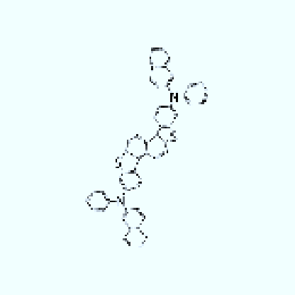 C1=Cc2cc(N(c3ccccc3)c3ccc4c(c3)sc3ccc5c(c34)C=CC3Sc4cc(N(c6ccccc6)c6ccc7ccccc7c6)ccc4C53)ccc2CC1